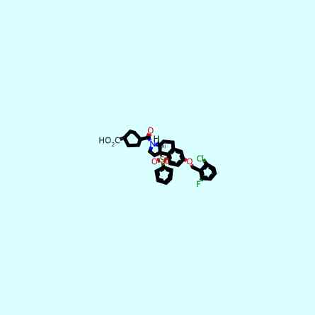 O=C(O)C1CCC(C(=O)N2CC[C@@]3(S(=O)(=O)c4ccccc4)c4ccc(OCc5c(F)cccc5Cl)cc4CC[C@@H]23)CC1